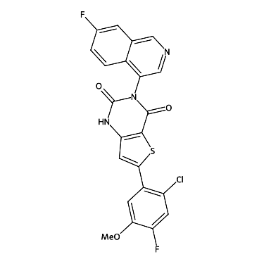 COc1cc(-c2cc3[nH]c(=O)n(-c4cncc5cc(F)ccc45)c(=O)c3s2)c(Cl)cc1F